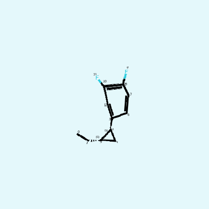 CC[C@H]1C[C@@H]1c1ccc(F)c(F)c1